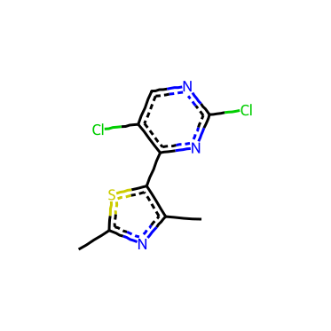 Cc1nc(C)c(-c2nc(Cl)ncc2Cl)s1